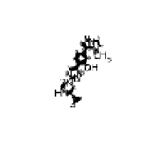 CN1CCn2ncc(-c3ccc(-c4cnc(N5CCN[C@@H](C6CC6)C5)nn4)c(O)c3)c21